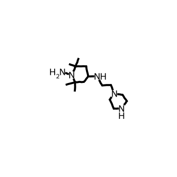 CC1(C)CC(NCCN2CCNCC2)CC(C)(C)N1N